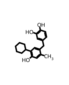 Cc1cc(O)c(C2CCCCC2)cc1Cc1ccc(O)c(O)c1